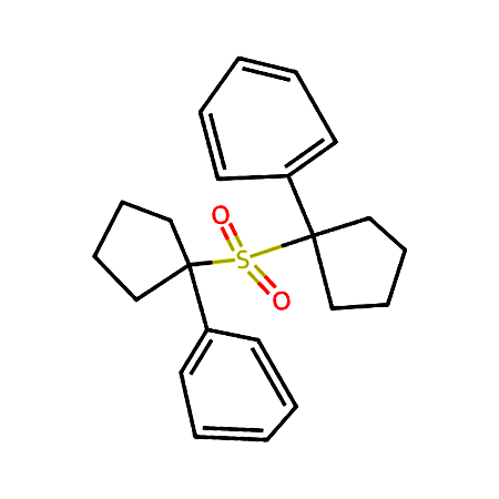 O=S(=O)(C1(c2ccccc2)CCCC1)C1(c2ccccc2)CCCC1